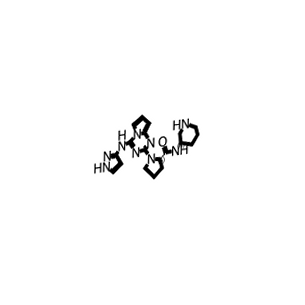 O=C(N[C@@H]1CCCNC1)[C@@H]1CCCN1c1nc(Nc2cc[nH]n2)n2cccc2n1